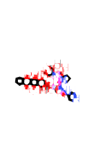 CC(=O)[C@]1(O)Cc2c(O)c3c(c(O)c2[C@@H](O[C@H]2C[C@H](NC(=O)C4CCCN4C(=O)C(C)NC(=O)c4ccncc4)[C@H](O)[C@H](C)O2)C1)C(=O)c1ccccc1C3=O